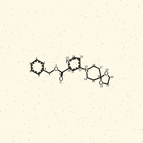 O=C(OCc1ccccc1)c1cc(N2CCC3(CC2)OCCO3)ccn1